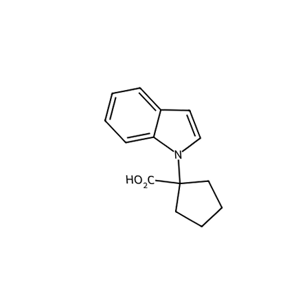 O=C(O)C1(n2ccc3ccccc32)CCCC1